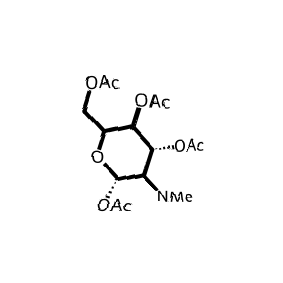 CNC1[C@H](OC(C)=O)OC(COC(C)=O)C(OC(C)=O)[C@@H]1OC(C)=O